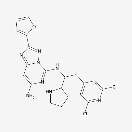 Nc1cc2nc(-c3ccco3)nn2c(NC(Cc2cc(Cl)nc(Cl)c2)C2CCCN2)n1